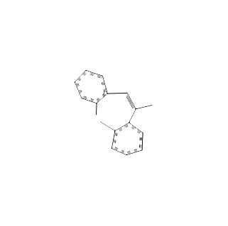 CC1=Cc2ccccc2Oc2ccccc21